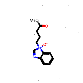 COC(=O)CCC[N+]1([O-])C=Nc2ccccc21